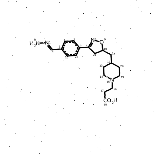 NN=Cc1ccc(C2=NOC(CC3CCN(CCC(=O)O)CC3)C2)cc1